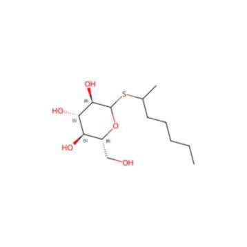 CCCCCC(C)SC1O[C@H](CO)[C@@H](O)[C@H](O)[C@H]1O